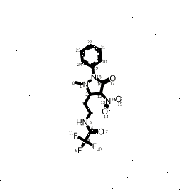 CN1C(CCNC(=O)C(F)(F)F)C([N+](=O)[O-])C(=O)N1c1ccccc1